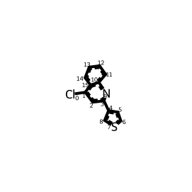 Clc1cc(-c2ccsc2)nc2ccccc12